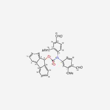 COc1cc(N(C(=O)OC2c3ccccc3-c3ccccc32)c2ccc(C=O)cc2OC)ccc1C=O